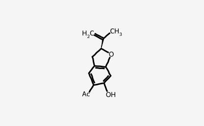 C=C(C)[C@@H]1Cc2cc(C(C)=O)c(O)cc2O1